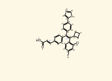 O=C(O)/C=C/c1ccc(/C(=C(\c2ccc(F)cc2Cl)C2CCC2)c2ccc(-c3cncs3)cc2)cc1